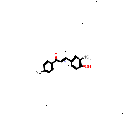 N#Cc1ccc(C(=O)/C=C/c2ccc(O)c([N+](=O)[O-])c2)cc1